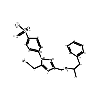 CC(C)Cc1nc(CNC(C)Cc2ccccc2)nn1-c1ccc(S(N)(=O)=O)cc1